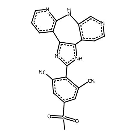 CS(=O)(=O)c1cc(C#N)c(-c2nc3c([nH]2)-c2ccncc2Nc2ncccc2-3)c(C#N)c1